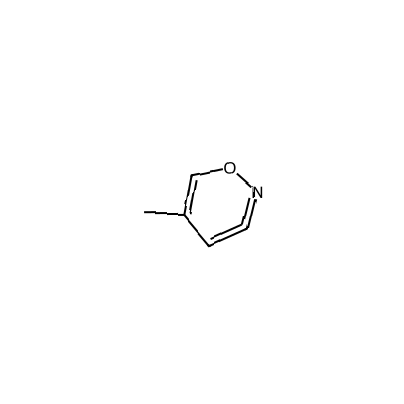 CC1=CON=C=C1